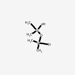 CCC[Si](C)(C)O[Si](C)(C)CC